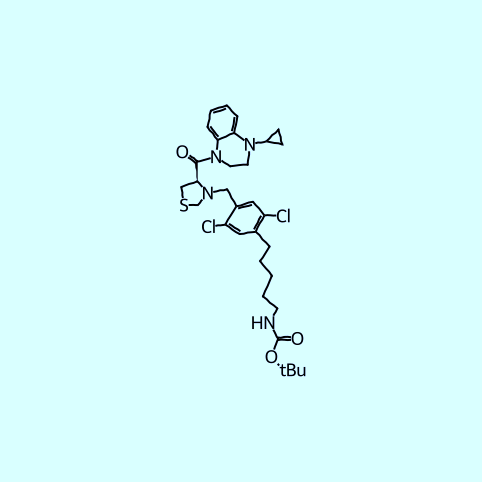 CC(C)(C)OC(=O)NCCCCCc1cc(Cl)c(CN2CSC[C@H]2C(=O)N2CCN(C3CC3)c3ccccc32)cc1Cl